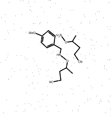 CC(CCC#N)ON.COc1ccc(CNOC(C)CCC#N)cc1